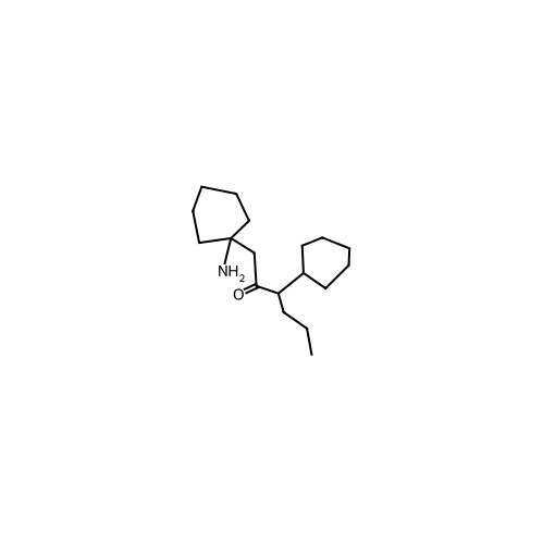 CCCC(C(=O)CC1(N)CCCCC1)C1CCCCC1